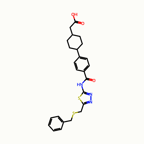 O=C(O)CC1CCC(c2ccc(C(=O)Nc3nnc(CSCc4ccccc4)s3)cc2)CC1